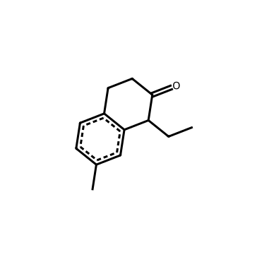 CCC1C(=O)CCc2ccc(C)cc21